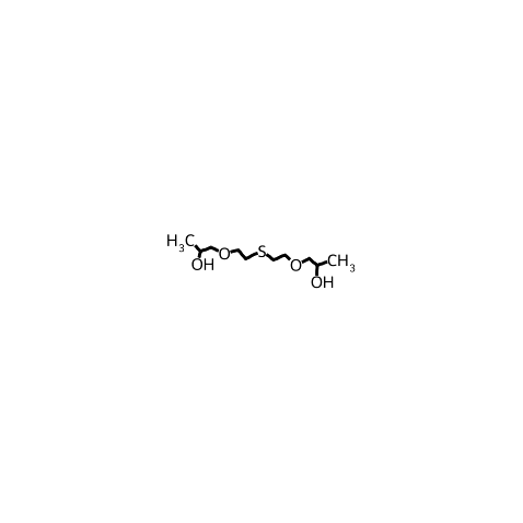 CC(O)COCCSCCOCC(C)O